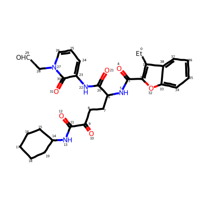 CCc1c(C(=O)NC(CCC(=O)C(=O)NC2CCCCC2)C(=O)Nc2cccn(CC=O)c2=O)oc2ccccc12